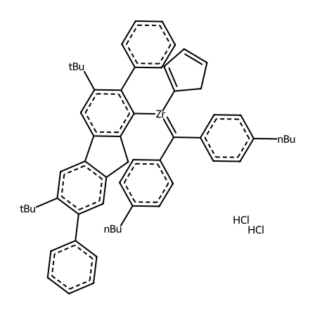 CCCCc1ccc([C](c2ccc(CCCC)cc2)=[Zr]([C]2=CC=CC2)[c]2c3c(cc(C(C)(C)C)c2-c2ccccc2)-c2cc(C(C)(C)C)c(-c4ccccc4)cc2C3)cc1.Cl.Cl